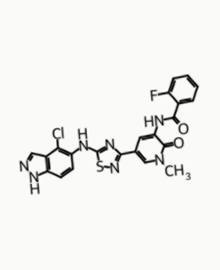 Cn1cc(-c2nsc(Nc3ccc4[nH]ncc4c3Cl)n2)cc(NC(=O)c2ccccc2F)c1=O